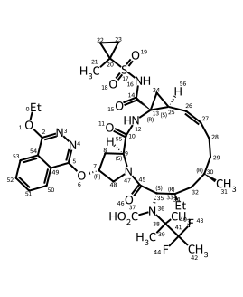 CCOc1nnc(O[C@@H]2C[C@H]3C(=O)N[C@]4(C(=O)NS(=O)(=O)C5(C)CC5)C[C@H]4C=CCC[C@@H](C)C[C@@H](CC)[C@H](N(C(=O)O)C(C)(C)C(C)(F)F)C(=O)N3C2)c2ccccc12